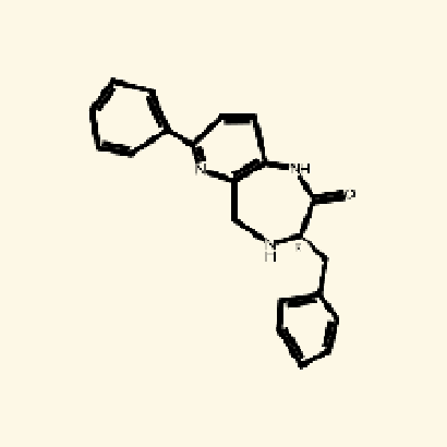 O=C1Nc2ccc(-c3ccccc3)nc2CN[C@@H]1Cc1ccccc1